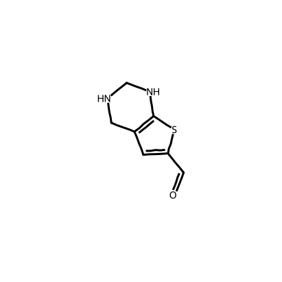 O=Cc1cc2c(s1)NCNC2